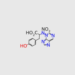 O=C(O)C(Cc1ccc(O)cc1)N(n1cncc2ncnc1-2)[N+](=O)[O-]